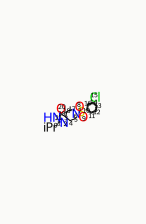 CC(C)C1=NC2(CCN(S(=O)(=O)c3cccc(Cl)c3)CC2)C(=O)N1